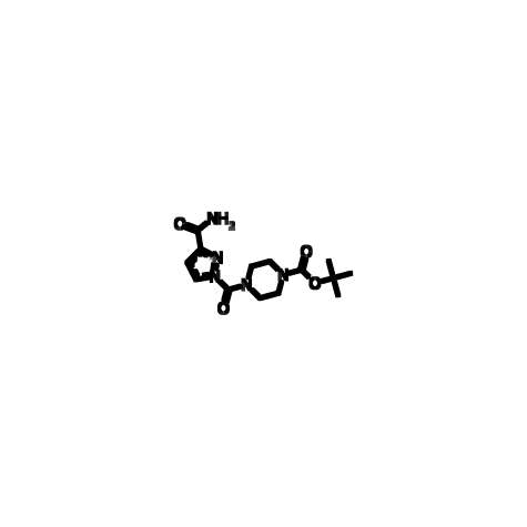 CC(C)(C)OC(=O)N1CCN(C(=O)n2ccc(C(N)=O)n2)CC1